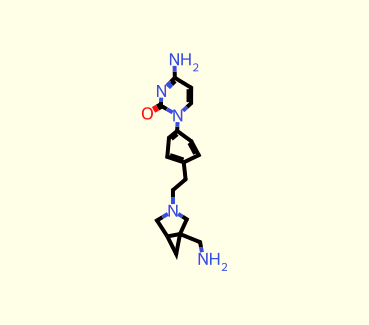 NCC12CC1CN(CCc1ccc(-n3ccc(N)nc3=O)cc1)C2